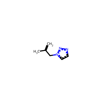 C=C(C)Cn1ccnn1